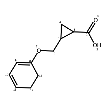 O=C(O)C1CC1COC1=CC=CCC1